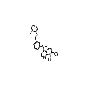 Cc1ccccc1CCc1cccc(Nc2ccnc3[nH]c(=O)ccc23)c1